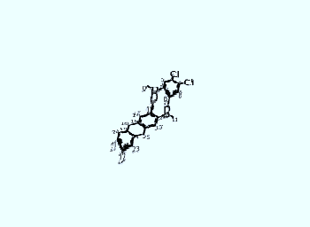 CB1c2cc(Cl)c(Cl)cc2B(C)c2cc3c(cc21)Cc1ccccc1C3